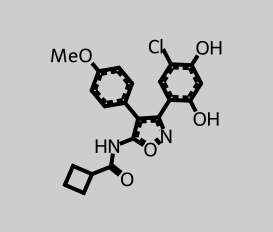 COc1ccc(-c2c(-c3cc(Cl)c(O)cc3O)noc2NC(=O)C2CCC2)cc1